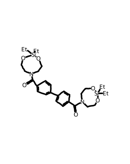 CC[Si]1(CC)OCCN(C(=O)c2ccc(-c3ccc(C(=O)N4CCO[Si](CC)(CC)OCC4)cc3)cc2)CCO1